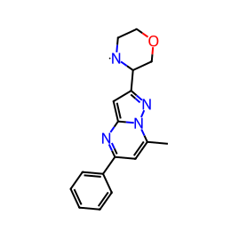 Cc1cc(-c2ccccc2)nc2cc(C3COCC[N]3)nn12